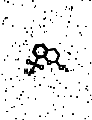 NS(=O)(=O)c1cccc2c1OC(C(F)(F)F)CC2